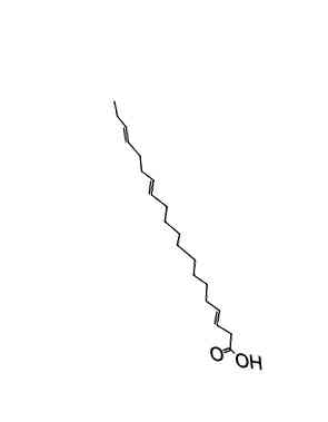 CC/C=C/CC/C=C/CCCCCCCC/C=C/CC(=O)O